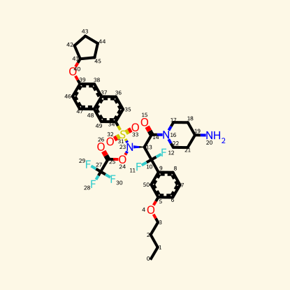 CCCCOc1cccc(C(F)(F)[C@H](C(=O)N2CCC(N)CC2)N(OC(=O)C(F)(F)F)S(=O)(=O)c2ccc3cc(OC4CCCC4)ccc3c2)c1